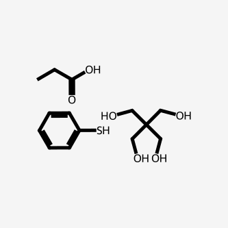 CCC(=O)O.OCC(CO)(CO)CO.Sc1ccccc1